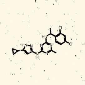 Cc1nc(Nc2cc(C3CC3)[nH]n2)nc(NC(C)c2ccc(Cl)cc2Cl)n1